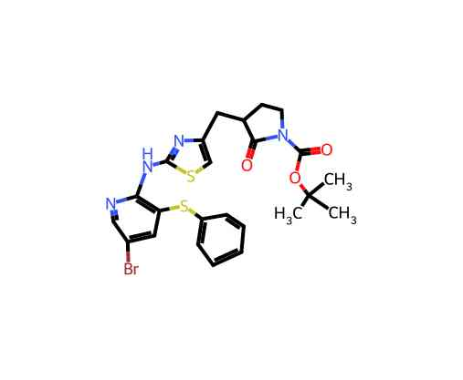 CC(C)(C)OC(=O)N1CCC(Cc2csc(Nc3ncc(Br)cc3Sc3ccccc3)n2)C1=O